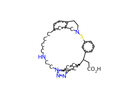 O=C(O)CC1c2cccc(c2)SN2CCc3ccc(cc3C2)CCCCNCCn2nnc3cc1ccc32